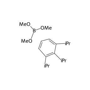 CC(C)c1cccc(C(C)C)c1C(C)C.COB(OC)OC